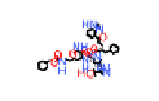 CC(C)(O)c1cnnn1[C@H]1C[C@@H](C(=O)NC(CCCCNC(=O)OCc2ccccc2)C(=O)C(N)=O)N(C(=O)[C@H](CCC(=O)c2cccc3[nH]cnc23)CC2CCCCC2)C1